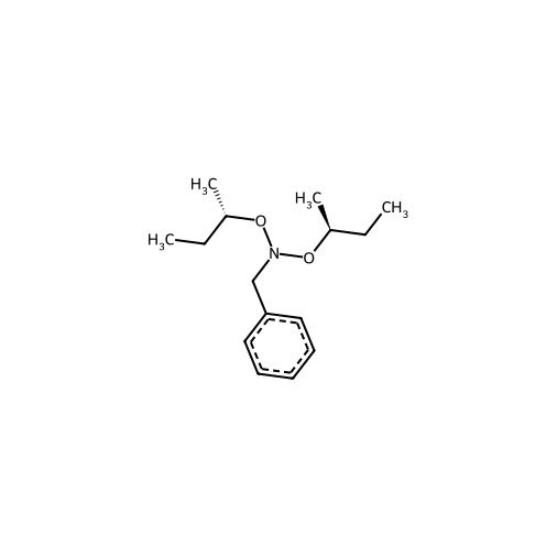 CC[C@H](C)ON(Cc1ccccc1)O[C@@H](C)CC